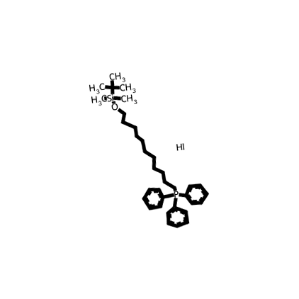 CC(C)(C)[Si](C)(C)OCCCCCCCCCCC[P](c1ccccc1)(c1ccccc1)c1ccccc1.I